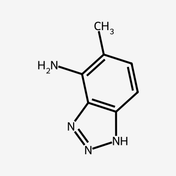 Cc1ccc2[nH]nnc2c1N